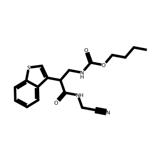 CCCCOC(=O)NCC(C(=O)NCC#N)c1csc2ccccc12